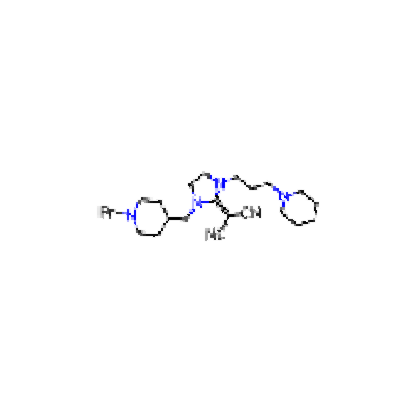 CC(C)N1CCC(CN2CCN(CCCN3CCCCC3)C2=C(C#N)C#N)CC1